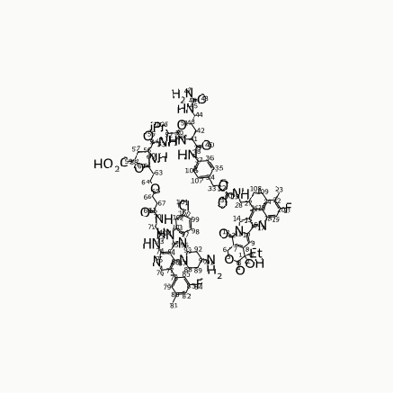 CC[C@@]1(O)C(=O)OCc2c1cc1n(c2=O)Cc2c-1nc1cc(F)c(C)c3c1c2C(CNC(=O)OCc1ccc(NC(=O)[C@H](CCCNC(N)=O)NC(=O)[C@@H](NC(=O)[C@H](CCC(=O)O)NC(=O)CCOCCC(=O)NCCNc2ncc(-c4cc(C)cc(F)c4)c(N4CCC(N)CC4)c2-c2nc4ccc(Cl)cc4[nH]2)C(C)C)cc1)CC3